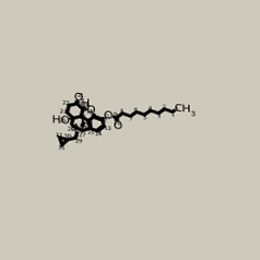 CCCCCCCCCC(=O)Oc1ccc2c3c1O[C@H]1C(=O)CC[C@@]4(O)C(C2)N(CC2CC2)CC[C@]314